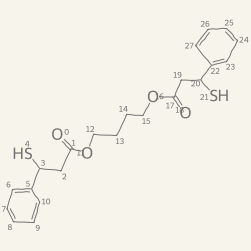 O=C(CC(S)c1ccccc1)OCCCCOC(=O)CC(S)c1ccccc1